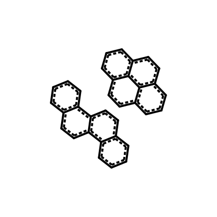 c1cc2ccc3cccc4ccc(c1)c2c34.c1ccc2c(c1)ccc1c3ccccc3ccc21